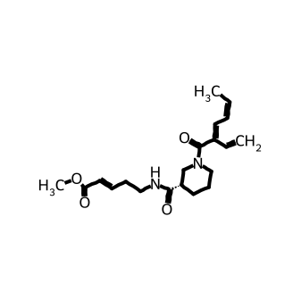 C=C/C(=C\C=C/C)C(=O)N1CCC[C@H](C(=O)NCC/C=C/C(=O)OC)C1